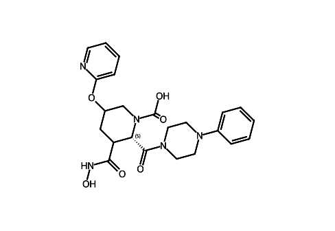 O=C(NO)C1CC(Oc2ccccn2)CN(C(=O)O)[C@@H]1C(=O)N1CCN(c2ccccc2)CC1